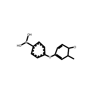 CC1C=C(Oc2ccc(B(O)O)cc2)C=CC1Cl